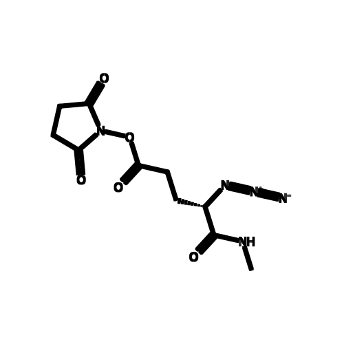 CNC(=O)[C@H](CCC(=O)ON1C(=O)CCC1=O)N=[N+]=[N-]